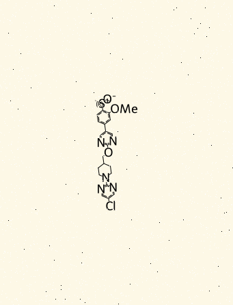 COc1cc(-c2cnc(OCC3CCN(c4ncc(Cl)cn4)CC3)nc2)ccc1[S@+](C)[O-]